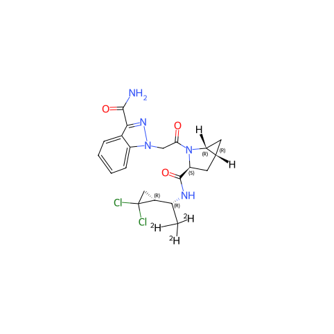 [2H]C([2H])([2H])[C@@H](NC(=O)[C@@H]1C[C@H]2C[C@H]2N1C(=O)Cn1nc(C(N)=O)c2ccccc21)[C@H]1CC1(Cl)Cl